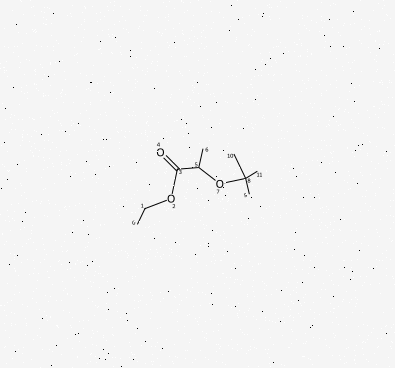 CCOC(=O)C(C)OC(C)(C)C